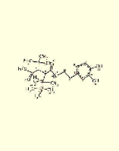 CC(C)(C)C(C(=O)O)C(C(=O)NCCc1ccc(O)c(O)c1)C(C)(C)C(C)(C)C